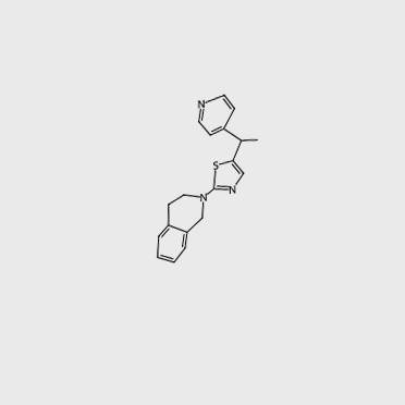 CC(c1ccncc1)c1cnc(N2CCc3ccccc3C2)s1